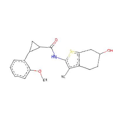 CCOc1ccccc1C1CC1C(=O)Nc1sc2c(c1C#N)CCC(O)C2